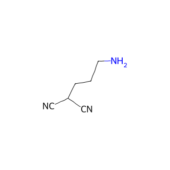 N#CC(C#N)CCCN